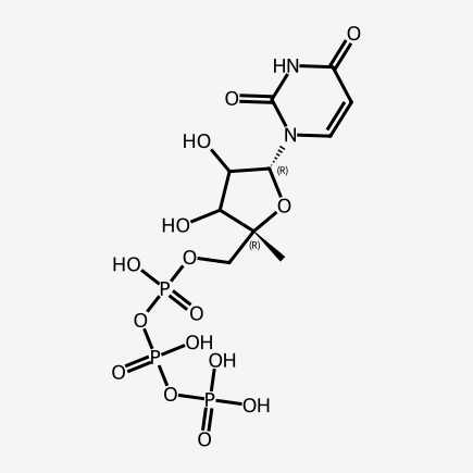 C[C@]1(COP(=O)(O)OP(=O)(O)OP(=O)(O)O)O[C@@H](n2ccc(=O)[nH]c2=O)C(O)C1O